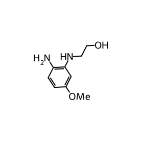 COc1ccc(N)c(NCCO)c1